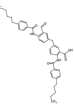 CCCCCc1ccc(C(=O)Nc2ccc(Cc3ccc(NC(=O)c4ccc(CCCCC)cc4)c(C(=O)O)c3)cc2C=O)cc1